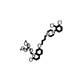 COOP(OCn1c(=O)ccc2ccc(OCCCCN3CCN(c4cccc(Cl)c4Cl)CC3)cc21)OOC